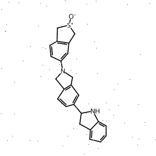 [O-][S+]1Cc2ccc(N3Cc4ccc(C5Cc6ccccc6N5)cc4C3)cc2C1